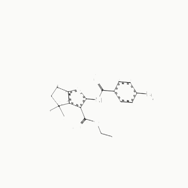 CCOC(=O)c1c(NC(=O)c2ccc(Br)cc2)sc2c1C(C)(C)CC2